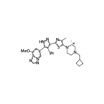 COc1cc(-c2[nH]nc(-c3nc(C)c(N4CCN(CC5CCC5)C[C@H]4C)s3)c2C(C)C)cn2ncnc12